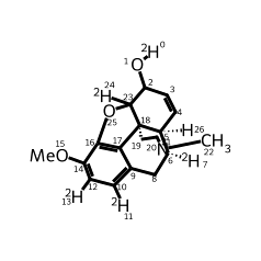 [2H]OC1C=C[C@H]2[C@@]3([2H])Cc4c([2H])c([2H])c(OC)c5c4[C@@]2(CCN3C)C1([2H])O5